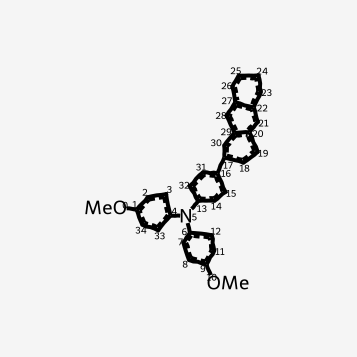 COc1ccc(N(c2ccc(OC)cc2)c2ccc(-c3ccc4cc5ccccc5cc4c3)cc2)cc1